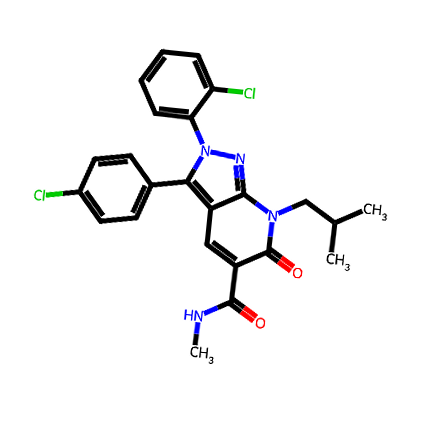 CNC(=O)c1cc2c(-c3ccc(Cl)cc3)n(-c3ccccc3Cl)nc2n(CC(C)C)c1=O